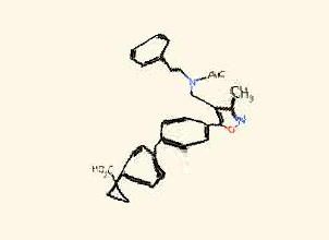 CC(=O)N(CCc1ccccc1)Cc1c(C)noc1-c1ccc(-c2ccc(C3(C(=O)O)CC3)cc2)cc1